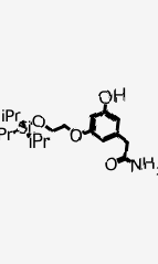 CC(C)[Si](OCCOc1cc(O)cc(CC(N)=O)c1)(C(C)C)C(C)C